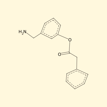 NCc1cccc(OC(=O)Cc2ccccc2)c1